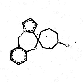 CN1CCCC2(CC1)Oc1ccccc1Cn1cccc12